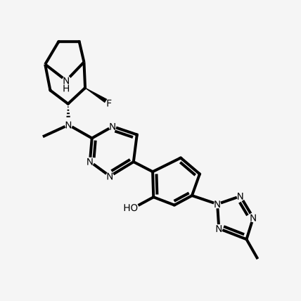 Cc1nnn(-c2ccc(-c3cnc(N(C)[C@@H]4CC5CCC(N5)[C@H]4F)nn3)c(O)c2)n1